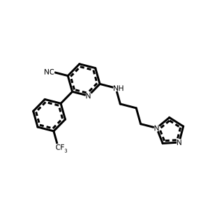 N#Cc1ccc(NCCCn2ccnc2)nc1-c1cccc(C(F)(F)F)c1